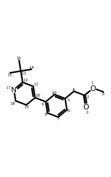 COC(=O)Cc1cccc(C2=CC(C(C)(C)C)=NCC2)c1